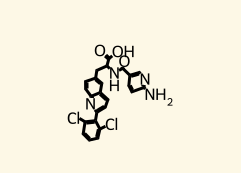 Nc1ccc(C(=O)NC(Cc2ccc3nc(-c4c(Cl)cccc4Cl)ccc3c2)C(=O)O)cn1